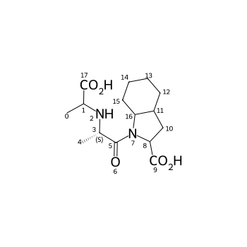 CC(N[C@@H](C)C(=O)N1C(C(=O)O)CC2CCCCC21)C(=O)O